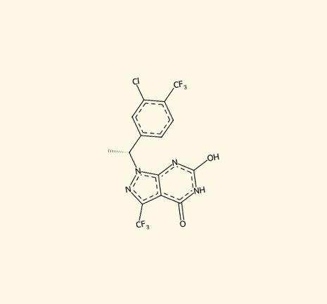 C[C@H](c1ccc(C(F)(F)F)c(Cl)c1)n1nc(C(F)(F)F)c2c(=O)[nH]c(O)nc21